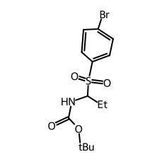 CCC(NC(=O)OC(C)(C)C)S(=O)(=O)c1ccc(Br)cc1